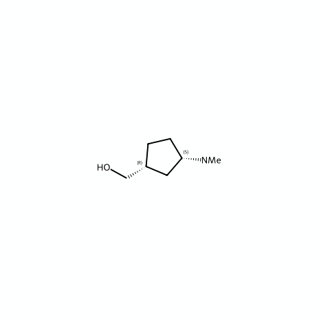 CN[C@H]1CC[C@@H](CO)C1